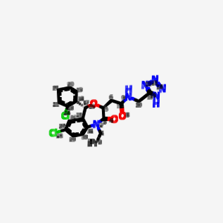 CC(C)CN1C(=O)[C@H](CC(=O)NCc2nnn[nH]2)O[C@@H](c2ccccc2Cl)c2cc(Cl)ccc21